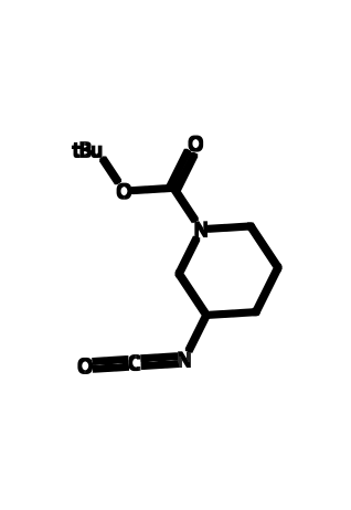 CC(C)(C)OC(=O)N1CCCC(N=C=O)C1